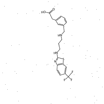 O=C(O)Cc1cccc(CNCCCNc2nc3ccc(C(F)(F)F)cc3s2)c1